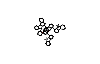 C[Si]1(C)c2ccccc2-c2cccc(-c3cccc4c(-c5cc6ccccc6c6c5C5(c7ccccc7-c7ccccc75)c5ccccc5-6)c5cccc(-c6cccc7c6[Si](C)(C)c6ccccc6-7)c5cc34)c21